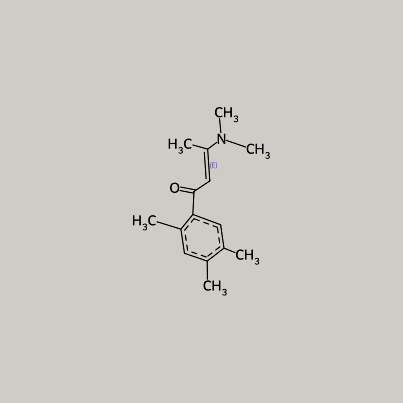 C/C(=C\C(=O)c1cc(C)c(C)cc1C)N(C)C